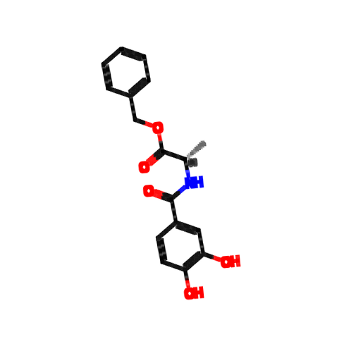 C[C@H](NC(=O)c1ccc(O)c(O)c1)C(=O)OCc1ccccc1